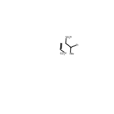 C=CC(=O)O.CCCCC(CC)CS(=O)(=O)O